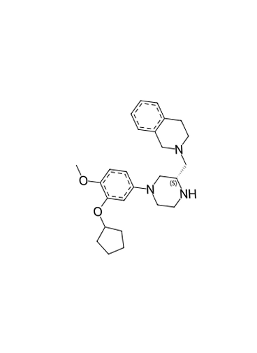 COc1ccc(N2CCN[C@@H](CN3CCc4ccccc4C3)C2)cc1OC1CCCC1